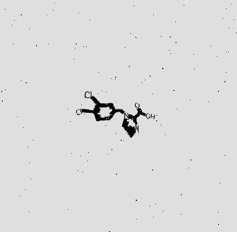 O=C(O)c1nccn1Cc1ccc(Cl)c(Cl)c1